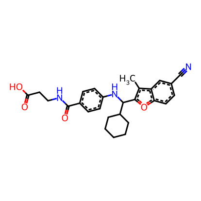 Cc1c(C(Nc2ccc(C(=O)NCCC(=O)O)cc2)C2CCCCC2)oc2ccc(C#N)cc12